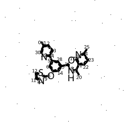 Cc1ccc(-c2cc(Oc3nccs3)cc(C(=O)NC(C)c3ccc(C)nc3)c2)nc1